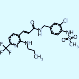 CCCNc1nc(C(F)(F)F)ccc1/C=C/C(=O)NCc1ccc(NS(C)(=O)=O)c(Cl)c1